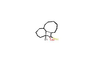 CCC1(CO)CCCCC2CCCCCCC(CS)C21